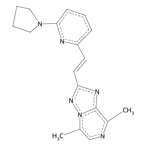 Cc1ncc(C)n2nc(C=Cc3cccc(N4CCCC4)n3)nc12